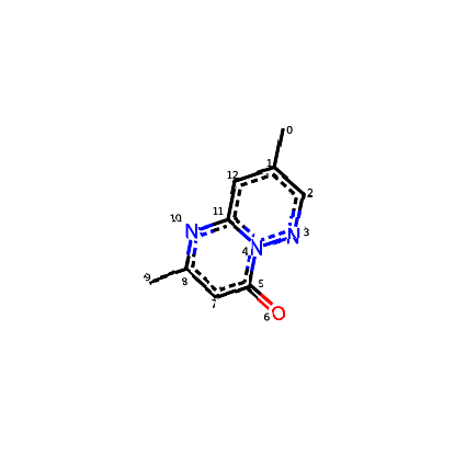 Cc1cnn2c(=O)cc(C)nc2c1